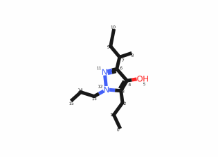 CCCc1c(O)c(C(C)CC)nn1CCC